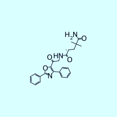 CC(C)(C[CH]C(=O)NCC(=O)c1oc(-c2ccccc2)nc1-c1ccccc1)C(N)=O